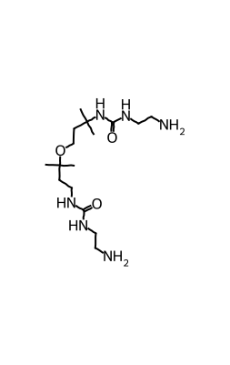 CC(C)(CCOC(C)(C)CCNC(=O)NCCN)NC(=O)NCCN